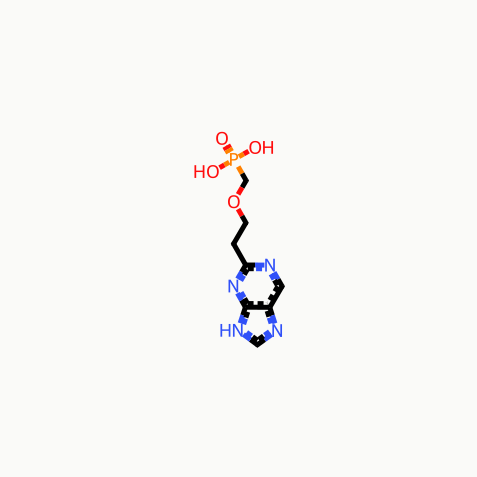 O=P(O)(O)COCCc1ncc2nc[nH]c2n1